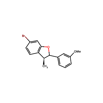 COc1cccc(C2Oc3cc(Br)ccc3[C@@H]2C)c1